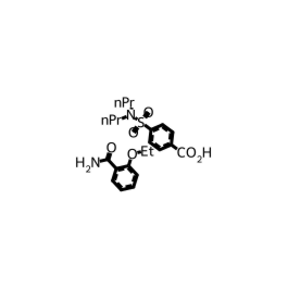 CCCN(CCC)S(=O)(=O)c1ccc(C(=O)O)cc1.CCOc1ccccc1C(N)=O